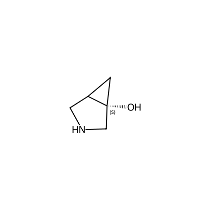 O[C@]12CNCC1C2